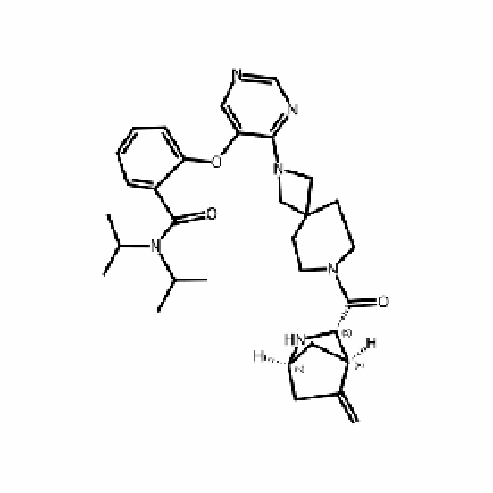 C=C1C[C@@H]2C[C@H]1[C@@H](C(=O)N1CCC3(CC1)CN(c1ncncc1Oc1ccccc1C(=O)N(C(C)C)C(C)C)C3)N2